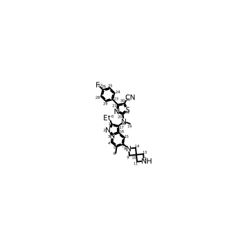 CCc1nn2cc(C)c(N3CC4(CNC4)C3)cc2c1N(C)c1nc(-c2ccc(F)cc2)c(C#N)s1